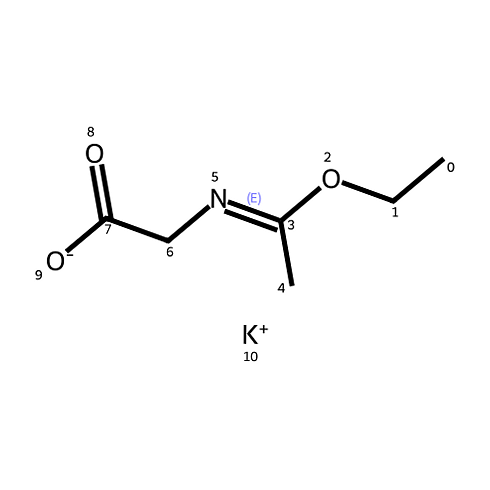 CCO/C(C)=N/CC(=O)[O-].[K+]